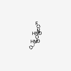 O=C(NCCCc1ccccc1)c1ccc(NC(=O)N2Cc3ccc(F)cc3C2)cc1